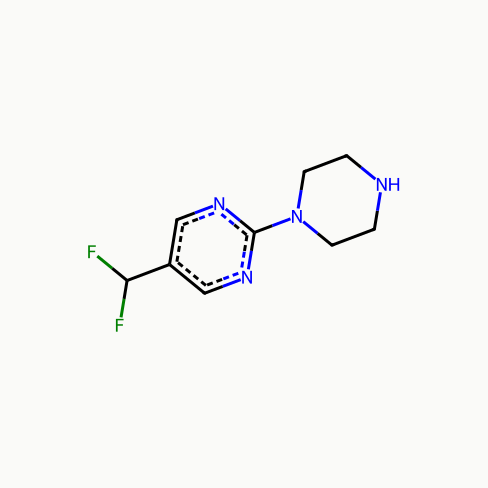 FC(F)c1cnc(N2CCNCC2)nc1